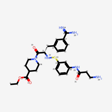 CCOC(=O)C1CCN(C(=O)[C@H](Cc2cccc(C(=N)N)c2)NSc2cccc(NC(=O)CCN)c2)CC1